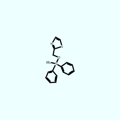 CC(C)(C)[Si](OCc1nccs1)(c1ccccc1)c1ccccc1